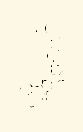 CC(C)c1ccccc1-c1ncc2[nH]c(=O)n(CC3(F)CCN(C(O)OC(C)(C)C)CC3)c2n1